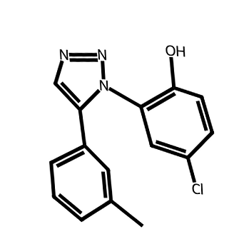 Cc1cccc(-c2cnnn2-c2cc(Cl)ccc2O)c1